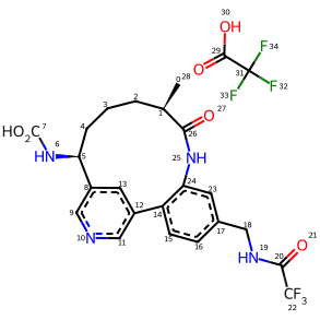 C[C@@H]1CCC[C@H](NC(=O)O)c2cncc(c2)-c2ccc(CNC(=O)C(F)(F)F)cc2NC1=O.O=C(O)C(F)(F)F